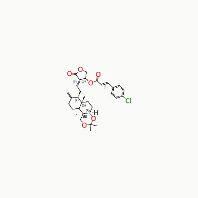 C=C1CCC2[C@]3(C)COC(C)(C)O[C@@H]3CC[C@@]2(C)[C@@H]1C/C=C1/C(=O)OC[C@H]1OC(=O)/C=C/c1ccc(Cl)cc1